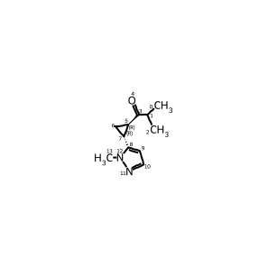 CC(C)C(=O)[C@@H]1C[C@H]1c1ccnn1C